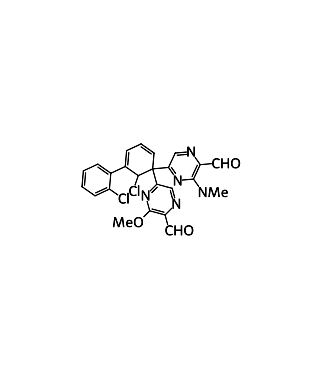 CNc1nc(C2(c3cnc(C=O)c(OC)n3)C=CC=C(c3ccccc3Cl)C2Cl)cnc1C=O